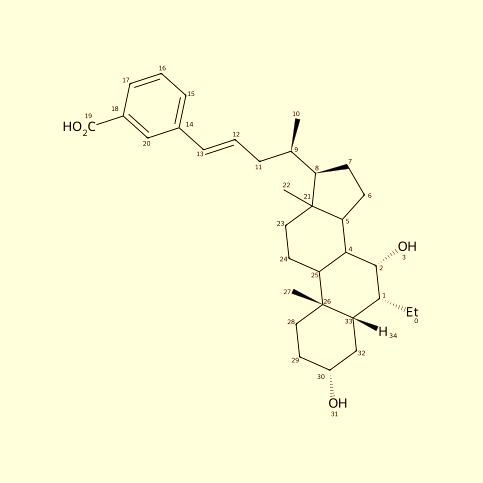 CC[C@H]1[C@@H](O)C2C3CC[C@H]([C@H](C)C/C=C/c4cccc(C(=O)O)c4)C3(C)CCC2[C@@]2(C)CC[C@@H](O)C[C@@H]12